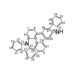 c1ccc(-c2ccccc2-n2c3ccccc3c3ccccc32)c(-c2ccc3c(c2)[nH]c2ccccc23)c1